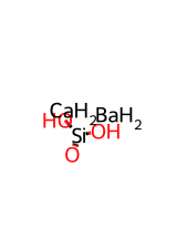 O=[Si](O)O.[BaH2].[CaH2]